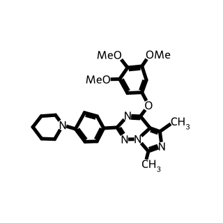 COc1cc(Oc2nc(-c3ccc(N4CCCCC4)cc3)nn3c(C)nc(C)c23)cc(OC)c1OC